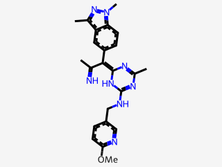 COc1ccc(CNC2=NC(C)=N/C(=C(/C(C)=N)c3ccc4c(c3)c(C)nn4C)N2)cn1